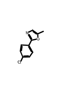 Cc1[c]nc(-c2ccc(Cl)cc2)o1